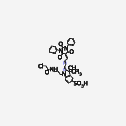 CC1(C)/C(=C\C=C\C=C2C(=O)N(c3ccccc3)C(=O)N(c3ccccc3)C2=O)N(CCCNC(=O)CCl)c2ccc(S(=O)(=O)O)cc21